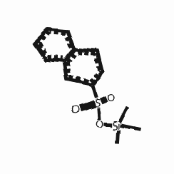 C[Si](C)(C)OS(=O)(=O)c1ccc2ccccc2c1